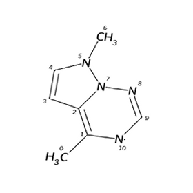 CC1=C2C=CN(C)N2N=C[N]1